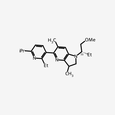 CCc1nc(C(C)C)ccc1-c1nc2c(cc1C)N([C@@H](CC)COC)CC2C